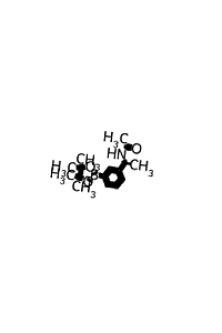 CC(=O)N[C@@H](C)c1cccc(B2OC(C)(C)C(C)(C)O2)c1